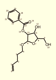 C=CCCCOC1OC(CO)C(O)C1OC(=O)c1ccccc1